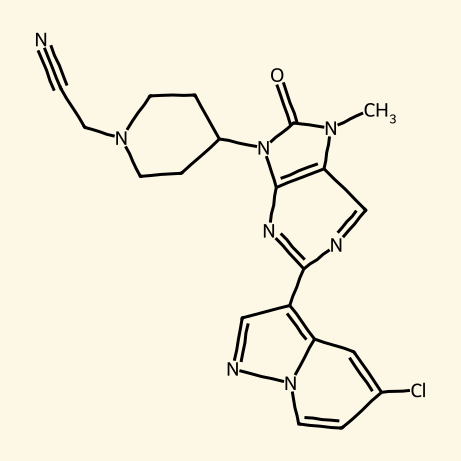 Cn1c(=O)n(C2CCN(CC#N)CC2)c2nc(-c3cnn4ccc(Cl)cc34)ncc21